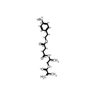 C=C(C)C(=O)OCC(C)OC(=O)CCC(=O)OCCc1ccc(CCCC)cc1